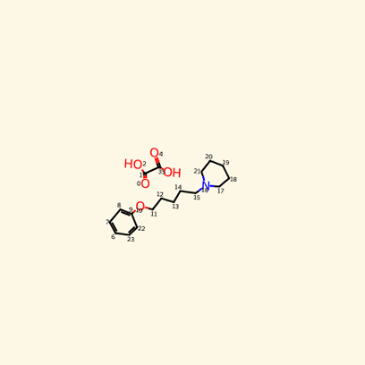 O=C(O)C(=O)O.c1ccc(OCCCCCN2CCCCC2)cc1